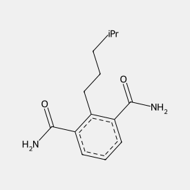 CC(C)CCCc1c(C(N)=O)cccc1C(N)=O